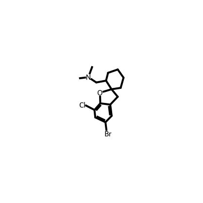 CN(C)CC1CCCCC12Cc1cc(Br)cc(Cl)c1O2